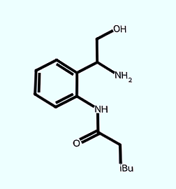 CCC(C)CC(=O)Nc1ccccc1C(N)CO